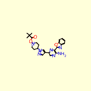 CC(C)(C)C(=O)ON1CCC(n2cc(-c3cnc(N)c(-c4nc5ccccc5o4)n3)cn2)CC1